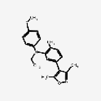 CCN(c1ccc(SC)cc1)c1cc(-c2c(C)noc2C)ccc1C